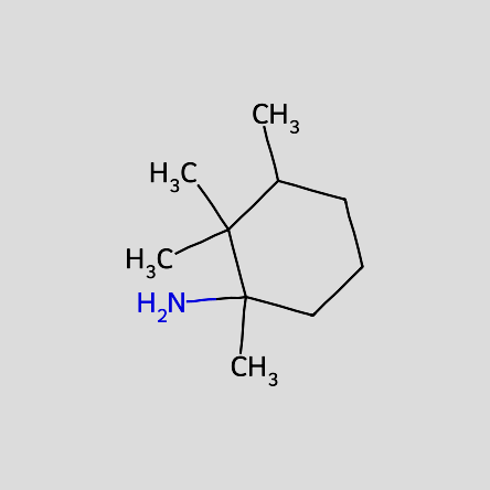 CC1CCCC(C)(N)C1(C)C